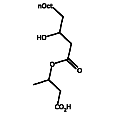 CCCCCCCCCC(O)CC(=O)OC(C)CC(=O)O